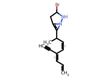 C#CC(/C=C\C(C)C1=C2CC(Br)NN21)=C/C=C